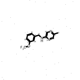 Cc1cnc(NCc2cccc(OC(F)(F)F)c2)cn1